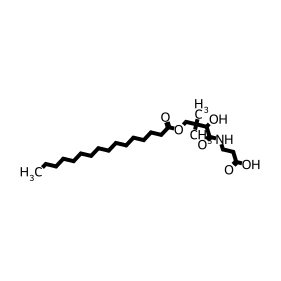 CCCCCCCCCCCCCCCC(=O)OCC(C)(C)C(O)C(=O)NCCC(=O)O